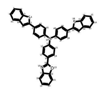 c1ccc2sc(-c3ccc(N(c4ccc(-c5nc6ccccc6o5)cc4)c4ccc(-c5cc6ccccc6s5)cc4)cc3)cc2c1